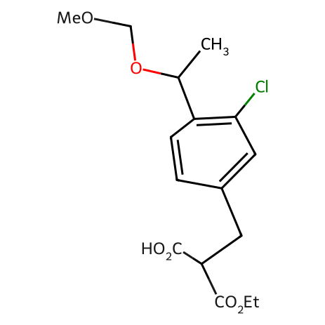 CCOC(=O)C(Cc1ccc(C(C)OCOC)c(Cl)c1)C(=O)O